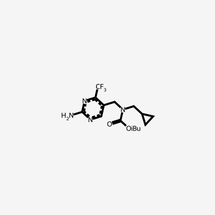 CC(C)COC(=O)N(Cc1cnc(N)nc1C(F)(F)F)CC1CC1